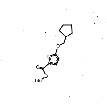 CC(C)(C)OC(=O)n1ccc(OCC2CCCC2)n1